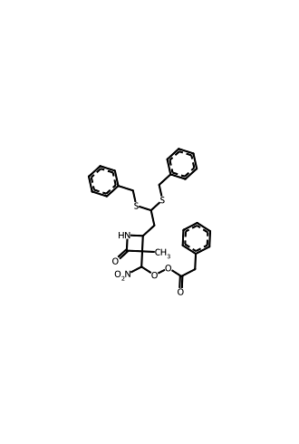 CC1(C(OOC(=O)Cc2ccccc2)[N+](=O)[O-])C(=O)NC1CC(SCc1ccccc1)SCc1ccccc1